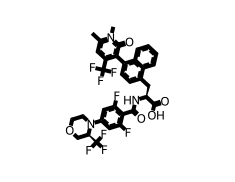 Cc1cc(C(F)(F)F)c(-c2ccc(C[C@H](NC(=O)c3c(F)cc(N4CCOC[C@@H]4C(F)(F)F)cc3F)C(=O)O)c3ccccc23)c(=O)n1C